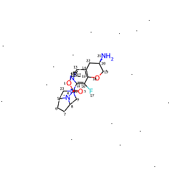 CC(C)(C)OC(=O)N1C2CCC1CN(c1ncc3c(c1F)OC[C@H](N)C3)C2